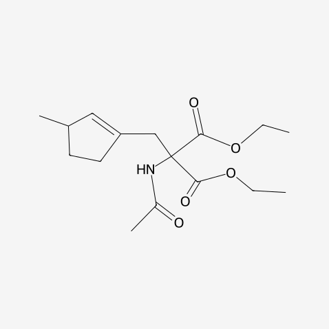 CCOC(=O)C(CC1=CC(C)CC1)(NC(C)=O)C(=O)OCC